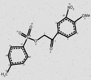 COc1ccc(C(=O)COS(=O)(=O)c2ccc(C)cc2)cc1[N+](=O)[O-]